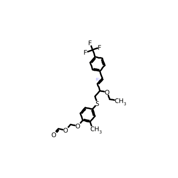 CCOC(/C=C/c1ccc(C(F)(F)F)cc1)CSc1ccc(OCOC=O)c(C)c1